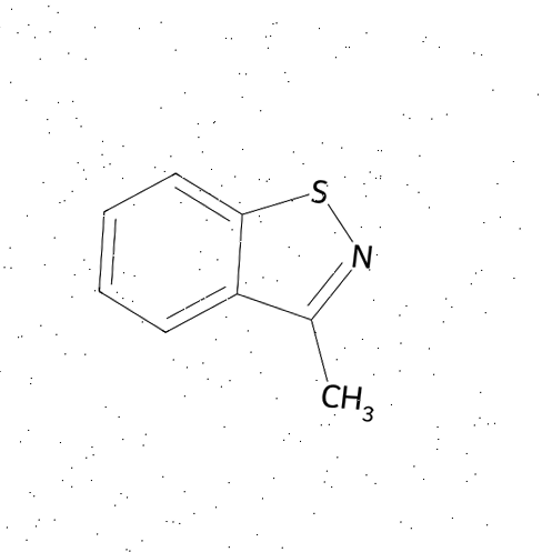 Cc1nsc2ccccc12